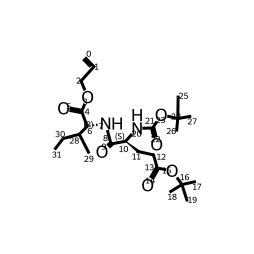 C=CCOC(=O)[C@H](NC(=O)[C@H](CCC(=O)OC(C)(C)C)NC(=O)OC(C)(C)C)C(C)CC